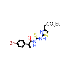 C=C(C(=O)NC(=S)Nc1nc(CC(=O)OCC)cs1)c1ccc(Br)cc1